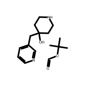 CC(C)(C)OC=O.OC1(Cc2cccnc2)CCNCC1